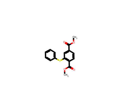 COC(=O)c1ccc(C(=O)OC)c(Sc2ccccc2)c1